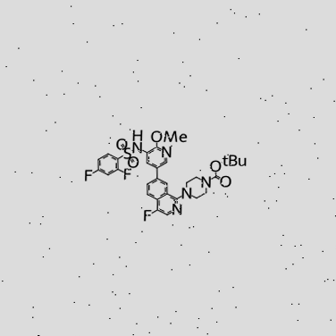 COc1ncc(-c2ccc3c(F)cnc(N4CCN(C(=O)OC(C)(C)C)CC4)c3c2)cc1NS(=O)(=O)c1ccc(F)cc1F